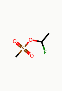 CC(F)OS(C)(=O)=O